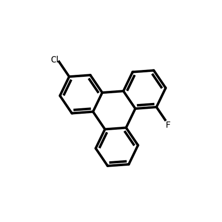 Fc1cccc2c3cc(Cl)ccc3c3ccccc3c12